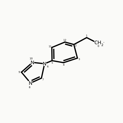 [CH2]Cc1ccc(-n2cncn2)cc1